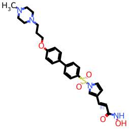 CN1CCN(CCCOc2ccc(-c3ccc(S(=O)(=O)n4ccc(/C=C/C(=O)NO)c4)cc3)cc2)CC1